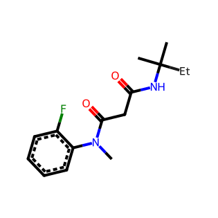 CCC(C)(C)NC(=O)CC(=O)N(C)c1ccccc1F